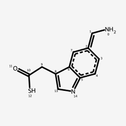 NC=c1ccc2c(c1)C(CC(=O)S)=CN=2